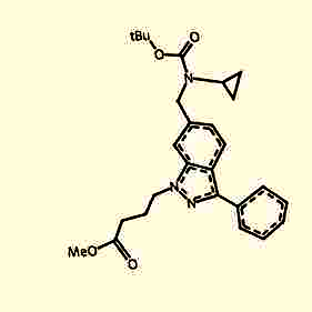 COC(=O)CCCn1nc(-c2ccccc2)c2ccc(CN(C(=O)OC(C)(C)C)C3CC3)cc21